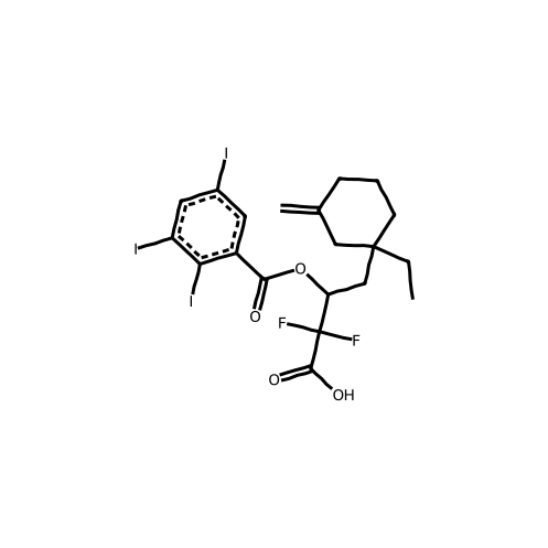 C=C1CCCC(CC)(CC(OC(=O)c2cc(I)cc(I)c2I)C(F)(F)C(=O)O)C1